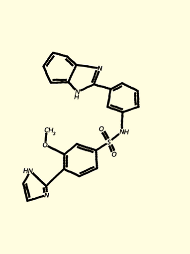 COc1cc(S(=O)(=O)Nc2cccc(-c3nc4ccccc4[nH]3)c2)ccc1-c1ncc[nH]1